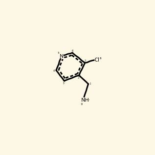 [NH]Cc1ccncc1Cl